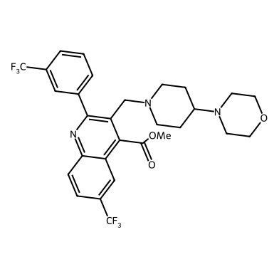 COC(=O)c1c(CN2CCC(N3CCOCC3)CC2)c(-c2cccc(C(F)(F)F)c2)nc2ccc(C(F)(F)F)cc12